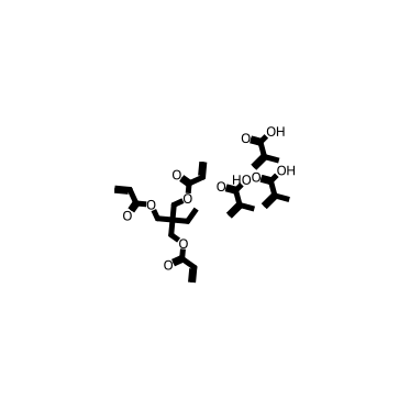 C=C(C)C(=O)O.C=C(C)C(=O)O.C=C(C)C(=O)O.C=CC(=O)OCC(CC)(COC(=O)C=C)COC(=O)C=C